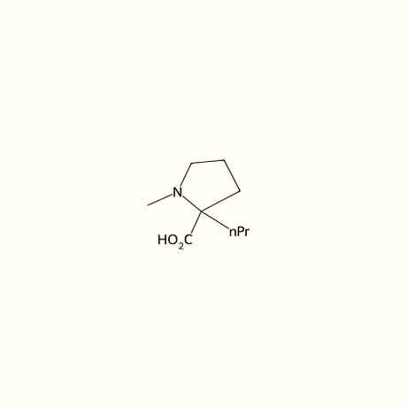 CCCC1(C(=O)O)CCCN1C